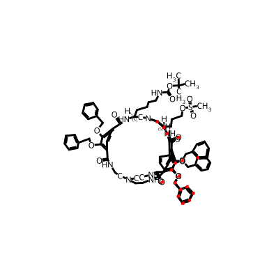 CC(C)(C)OC(=O)NCCCC[C@H]1CN2CCNC(=O)c3ccc(c(OCc4ccccc4)c3OCc3ccccc3)C(=O)NCCN(CCNC(=O)c3ccc(c(OCc4ccccc4)c3OCc3ccccc3)C(=O)N1)CCNC(=O)c1ccc(c(OCc3ccccc3)c1OCc1ccccc1)C(=O)N[C@@H](CCCOS(C)(=O)=O)C2